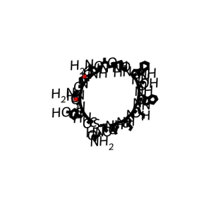 CCCC[C@H]1C(=O)N(C)[C@@H](CCCC)C(=O)N[C@@H](CC(C)C)C(=O)NC(C(=O)NCC(N)=O)CSCC(=O)N[C@@H](Cc2ccc(O)cc2)C(=O)N(C)[C@@H](C)C(=O)N[C@@H](CC(N)=O)C(=O)N2CCC[C@H]2C(=O)N[C@@H](CC(N)=O)C(=O)N[C@@H](CC(C)C)C(=O)N2CCC[C@H]2C(=O)N[C@@H](Cc2c[nH]c3ccccc23)C(=O)N[C@@H](CO)C(=O)N[C@@H](Cc2c[nH]c3ccccc23)C(=O)N1C